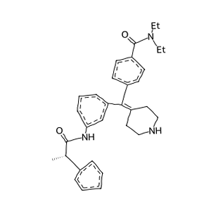 CCN(CC)C(=O)c1ccc(C(=C2CCNCC2)c2cccc(NC(=O)[C@@H](C)c3ccccc3)c2)cc1